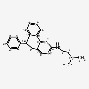 CN(C)CCNc1ncc2c(n1)-c1ccccc1C(c1ccccc1)C2